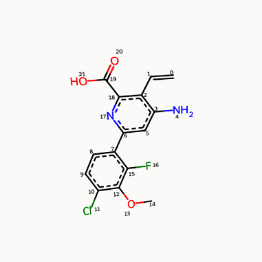 C=Cc1c(N)cc(-c2ccc(Cl)c(OC)c2F)nc1C(=O)O